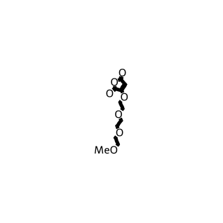 COCCOCCOCCOC1=CC(=O)OC1=O